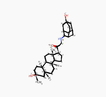 C[C@@]1(O)CC[C@@H]2C3CC[C@@]4(C)C(CC[C@@H]4C(=O)CNC4C5CC6CC4CC(O)(C6)C5)[C@@H]3CC[C@@H]2C1